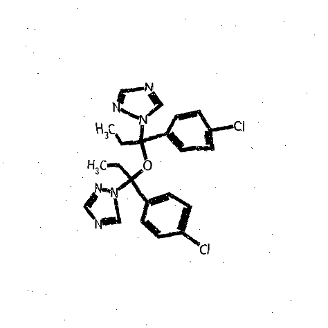 CCC(OC(CC)(c1ccc(Cl)cc1)n1cncn1)(c1ccc(Cl)cc1)n1cncn1